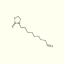 CCCCCCCCCCCCCCCCN1CCSC1=S